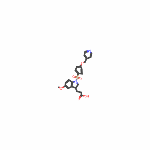 COc1ccc2c(c1)C(CCC(=O)O)CN2S(=O)(=O)c1ccc(OCc2ccncc2)cc1